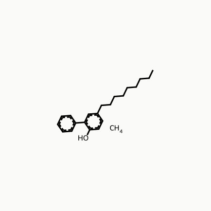 C.CCCCCCCCCc1ccc(O)c(-c2ccccc2)c1